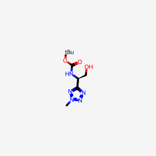 Cn1nnc([C@H](CO)NC(=O)OC(C)(C)C)n1